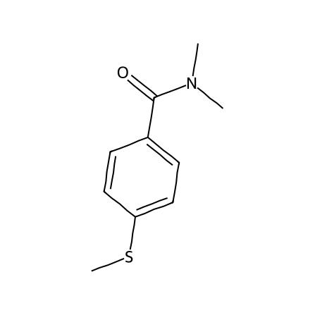 CSc1ccc(C(=O)N(C)C)cc1